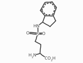 NC(CCS(=O)(=O)NC1CCc2ccccc21)C(=O)O